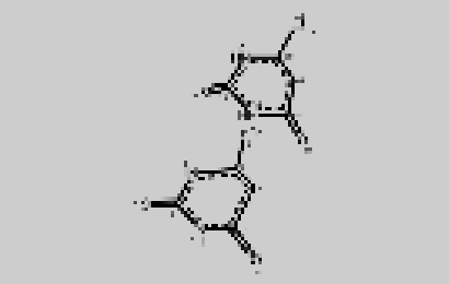 CCCc1cc(=O)[nH]c(=S)[nH]1.Cc1cc(=O)[nH]c(=S)[nH]1